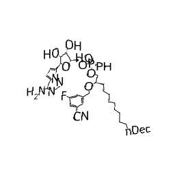 CCCCCCCCCCCCCCCCCCC[C@H](COP(O)(=P)OC[C@H]1O[C@@H](c2ccc3c(N)ncnn23)[C@H](O)[C@@H]1O)OCc1cc(F)cc(C#N)c1